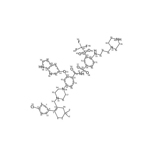 CC1(C)CCC(c2ccc(Cl)cc2)=C(CN2CCN(c3ccc(C(=O)NS(=O)(=O)c4ccc(NCCCN5CCNCC5)c(S(=O)(=O)C(F)(F)F)c4)c(Oc4cnc5[nH]ccc5c4)c3)CC2)C1